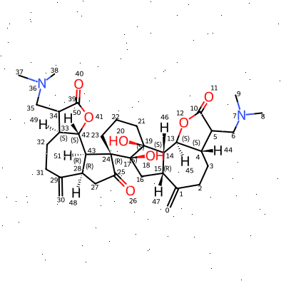 C=C1CC[C@H]2C(CN(C)C)C(=O)O[C@@H]2[C@@H]2[C@H]1C[C@@]1(O)[C@]2(O)CCC[C@]12C(=O)C[C@H]1C(=C)CC[C@H]3C(CN(C)C)C(=O)O[C@@H]3[C@H]12